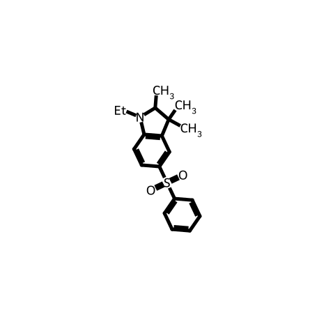 CCN1c2ccc(S(=O)(=O)c3ccccc3)cc2C(C)(C)C1C